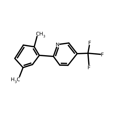 Cc1ccc(C)c(-c2ccc(C(F)(F)F)cn2)c1